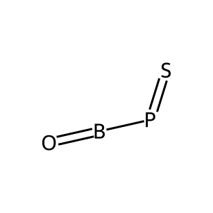 O=BP=S